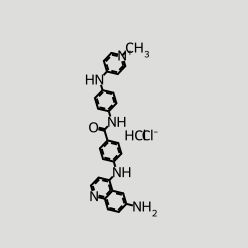 C[n+]1ccc(Nc2ccc(NC(=O)c3ccc(Nc4ccnc5ccc(N)cc45)cc3)cc2)cc1.Cl.[Cl-]